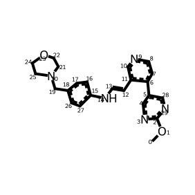 COc1ncc(-c2ccncc2/C=C/Nc2ccc(CN3CCOCC3)cc2)cn1